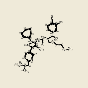 COCCN1C[C@@H](NC(=O)Nc2c(C)c(-c3cnc(CN(C)C)nc3)nn2-c2ccccc2)[C@H](c2ccc(F)c(F)c2)O1